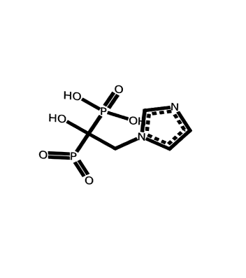 O=P(=O)C(O)(Cn1ccnc1)P(=O)(O)O